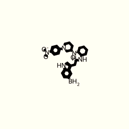 Bc1ccc2[nH]cc(CC(=O)N[C@@H]3CCCC[C@H]3NC3CCCN(c4ccc([N+](=O)[O-])cc4)C3)c2c1